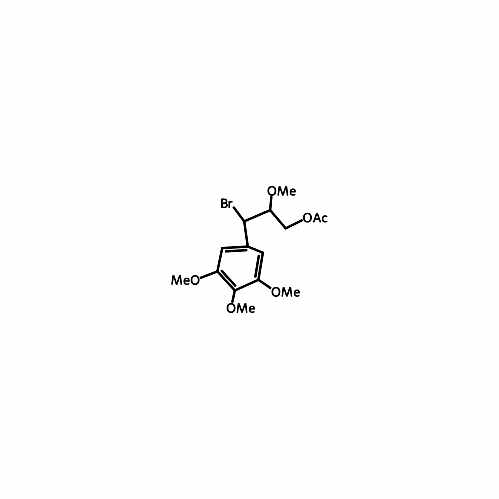 COc1cc(C(Br)C(COC(C)=O)OC)cc(OC)c1OC